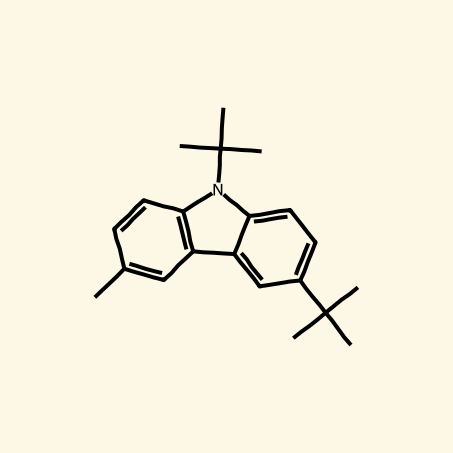 Cc1ccc2c(c1)c1cc(C(C)(C)C)ccc1n2C(C)(C)C